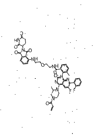 C=CC(=O)N1CCN(c2nc(=O)n(-c3c(C)cccc3C(=O)NCCOCCNc3cccc4c3C(=O)N(C3CCC(=O)NC3=O)C4=O)c3nc(-c4ccccc4F)c(F)cc23)C(C)C1